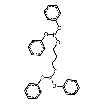 c1ccc(OP(OCCCOP(Oc2ccccc2)Oc2ccccc2)Oc2ccccc2)cc1